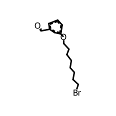 O=Cc1cccc(OCCCCCCCCBr)c1